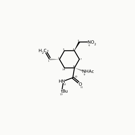 C=C[C@@H]1C[C@@H](C[N+](=O)[O-])C[C@@](NC(C)=O)(C(=O)NC(C)(C)C)C1